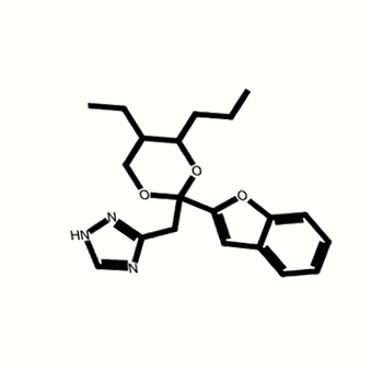 CCCC1OC(Cc2nc[nH]n2)(c2cc3ccccc3o2)OCC1CC